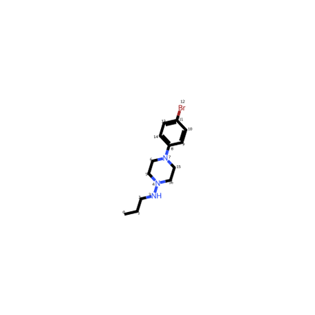 CCCNN1CCN(c2ccc(Br)cc2)CC1